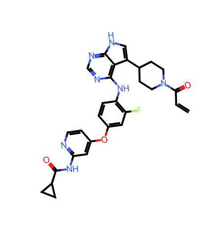 C=CC(=O)N1CCC(c2c[nH]c3ncnc(Nc4ccc(Oc5ccnc(NC(=O)C6CC6)c5)cc4F)c23)CC1